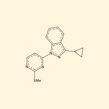 CSc1nccc(-n2nc(C3CC3)c3ccccc32)n1